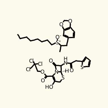 CCCCCCCC[S+]([O-])C(C)Cc1ccc2c(c1)OCO2.O=C(Cc1cccs1)NC1C(=O)N2C(C(=O)OCC(Cl)(Cl)Cl)=C(O)CS[C@H]12